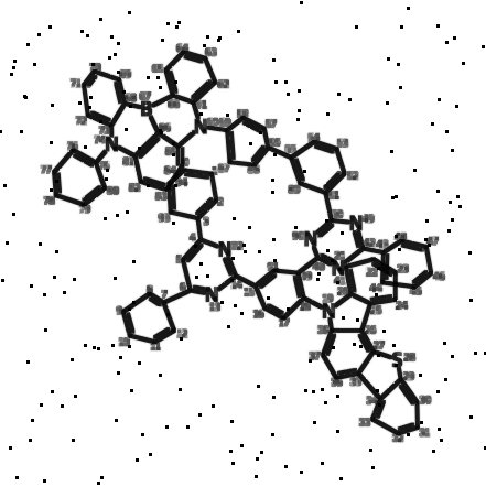 c1ccc(-c2cc(-c3ccccc3)nc(-c3ccc(-n4c5ccccc5c5c6sc7ccccc7c6ccc54)c(-c4nc(-c5ccccc5)nc(-c5cccc(-c6ccc(N7c8ccccc8B8c9ccccc9N(c9ccccc9)c9cccc7c98)cc6)c5)n4)c3)n2)cc1